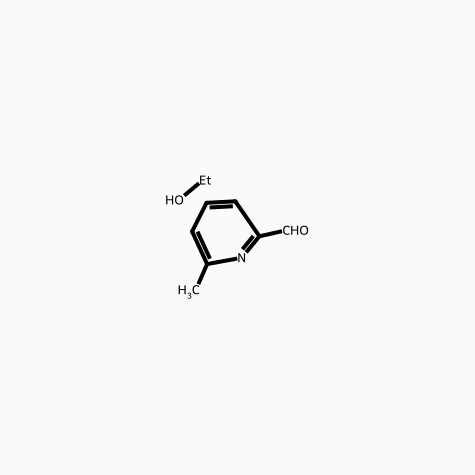 CCO.Cc1cccc(C=O)n1